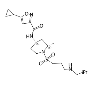 CC(C)CNCCCS(=O)(=O)N1CC[C@H](NC(=O)c2cc(C3CC3)on2)C[C@@H]1C